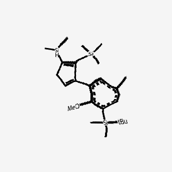 COc1c(C2=CCC([SiH](C)C)=C2[Si](C)(C)C)cc(C)cc1[Si](C)(C)C(C)(C)C